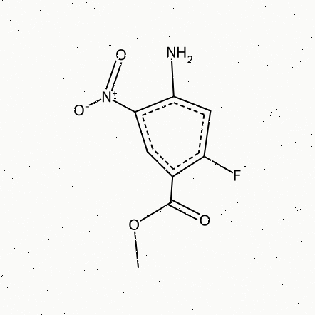 COC(=O)c1cc([N+](=O)[O-])c(N)cc1F